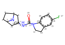 CN1C2CCC1CC(NC(=O)N1CCc3cc(F)ccc31)C2